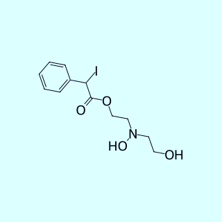 O=C(OCCN(O)CCO)C(I)c1ccccc1